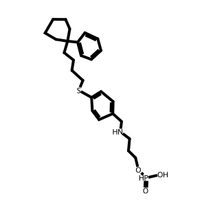 O=[PH](O)OCCCNCc1ccc(SCCCCC2(c3ccccc3)CCCCC2)cc1